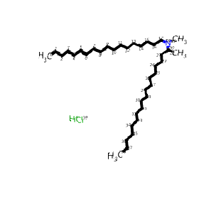 CCCCCCCCCCCCCCCCCCN(C)C(C)CCCCCCCCCCCCCCCCC.Cl